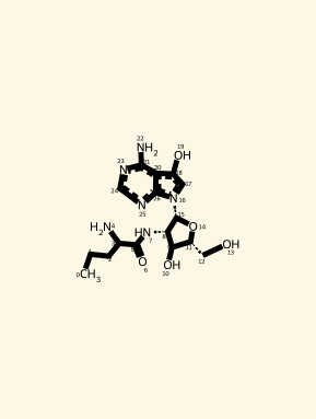 CCCC(N)C(=O)N[C@H]1C(O)[C@@H](CO)O[C@H]1n1cc(O)c2c(N)ncnc21